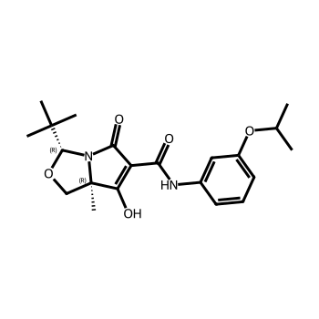 CC(C)Oc1cccc(NC(=O)C2=C(O)[C@@]3(C)CO[C@H](C(C)(C)C)N3C2=O)c1